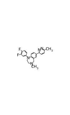 Cc1ccc(-c2ccc3c(c2)CN(C)CCN3c2ccc(F)c(F)c2)nn1